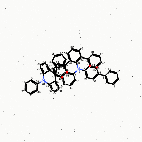 c1ccc(-c2ccc(N(c3cccc4c3-c3ccccc3C43c4ccccc4N(c4ccccc4)c4ccccc43)c3c(-c4ccccc4)cccc3-c3ccccc3)cc2)cc1